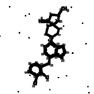 CC1CC(=N)C2(CCN(c3ncc(Sc4ccnc(Cl)c4Cl)c4nccn34)CC2)C1